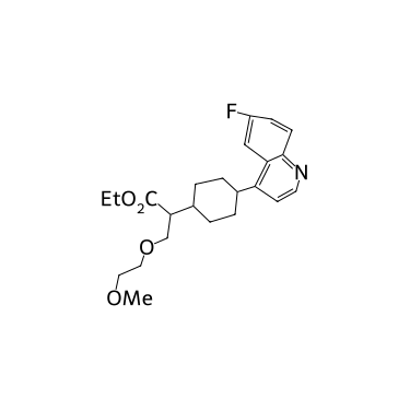 CCOC(=O)C(COCCOC)C1CCC(c2ccnc3ccc(F)cc23)CC1